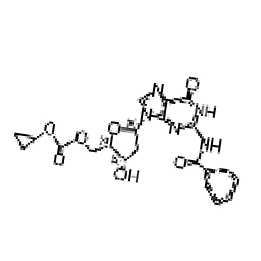 O=C(OC[C@H]1O[C@@H](n2cnc3c(=O)[nH]c(NC(=O)c4ccccc4)nc32)C[C@@H]1O)OC1CC1